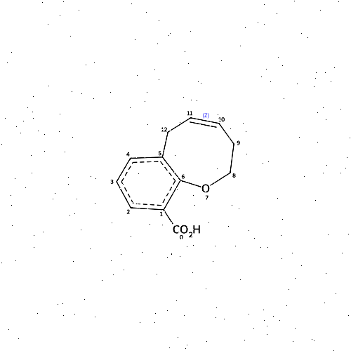 O=C(O)c1cccc2c1OCC/C=C\C2